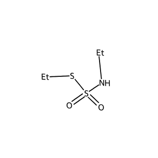 [CH2]CNS(=O)(=O)SCC